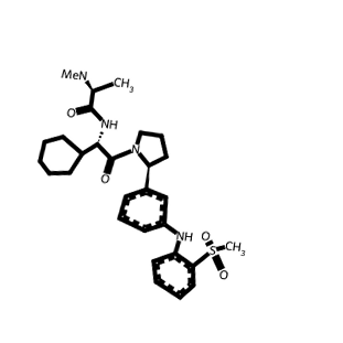 CN[C@@H](C)C(=O)N[C@H](C(=O)N1CCC[C@H]1c1cccc(Nc2ccccc2S(C)(=O)=O)c1)C1CCCCC1